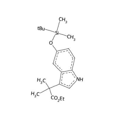 CCOC(=O)C(C)(C)c1c[nH]c2ccc(O[Si](C)(C)C(C)(C)C)cc12